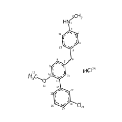 CNc1ccc(Cc2ccc(OC)c(-c3cccc(Cl)c3)c2)cc1.Cl